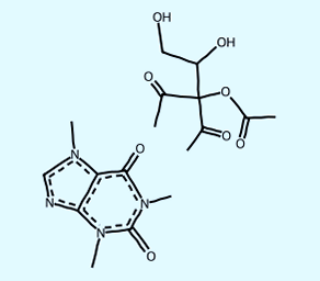 CC(=O)OC(C(C)=O)(C(C)=O)C(O)CO.Cn1c(=O)c2c(ncn2C)n(C)c1=O